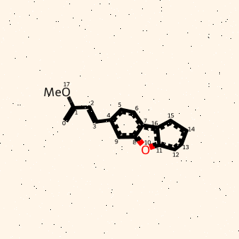 C=C(/C=C/c1ccc2c(c1)oc1ccccc12)OC